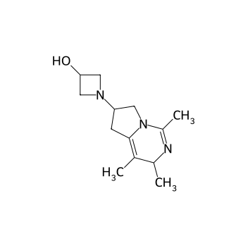 CC1=NC(C)C(C)=C2CC(N3CC(O)C3)CN12